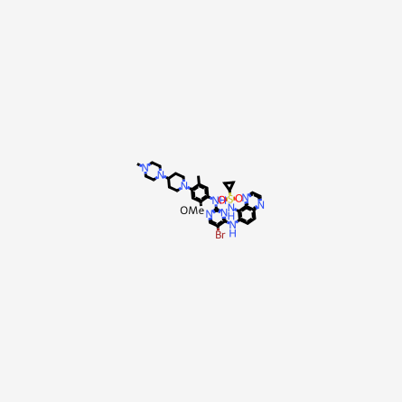 COc1cc(N2CCC(N3CCN(C)CC3)CC2)c(C)cc1Nc1ncc(Br)c(Nc2ccc3nccnc3c2NS(=O)(=O)C2CC2)n1